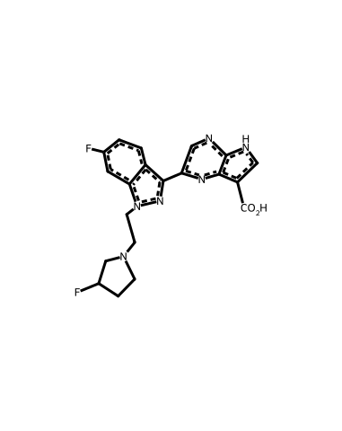 O=C(O)c1c[nH]c2ncc(-c3nn(CCN4CCC(F)C4)c4cc(F)ccc34)nc12